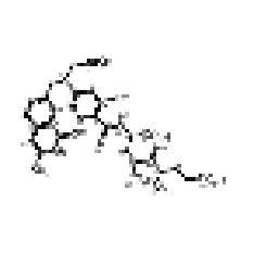 C#CCN(Cc1ccc2nc(C)[nH]c(=O)c2c1)c1ccc(C(=O)N[C@H](CC(C(=O)O)C(=O)[C@H](N)CCC(=O)O)C(=O)O)c(F)c1